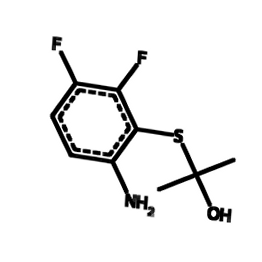 CC(C)(O)Sc1c(N)ccc(F)c1F